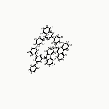 c1ccc(-c2cc(-c3ccccc3)cc(-n3c4ccccc4c4c5c6c7ccccc7c7ccccc7c6n(-c6cccc(-c7nc(-c8ccccc8)c8ccccc8n7)c6)c5ccc43)c2)cc1